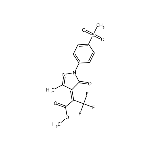 COC(=O)/C(=C1/C(=O)N(c2ccc(S(C)(=O)=O)cc2)N=C1C)C(F)(F)F